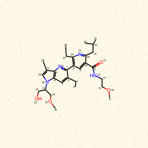 CCc1cc2c(nc1-c1cc(C(=O)NCCOC)c(CC(C)C)nc1CC)c(C)cn2C(CO)COC